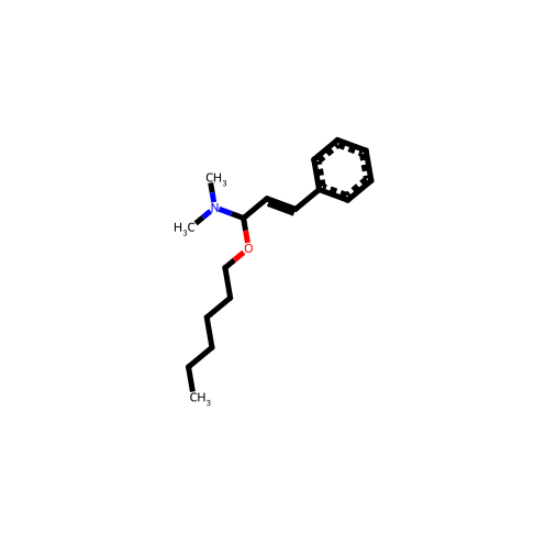 CCCCCCOC(C=Cc1ccccc1)N(C)C